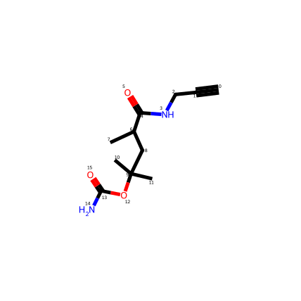 C#CCNC(=O)C(C)CC(C)(C)OC(N)=O